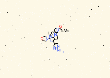 CNC(=O)N1CC[C@](C)(N2CCc3c(-c4cnc(N)nc4)nc(N4CCOCC4)nc32)C1